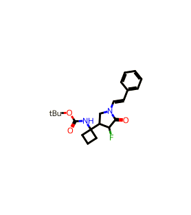 CC(C)(C)OC(=O)NC1(C2CN(/C=C/c3ccccc3)C(=O)C2F)CCC1